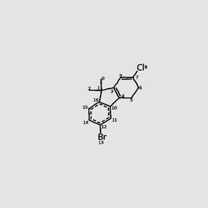 CC1(C)C2=C(CCC(Cl)=C2)c2cc(Br)ccc21